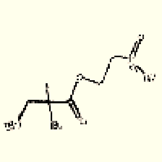 CC(C)(C)CC(C)(C(=O)OCC[PH](=O)O)C(C)(C)C